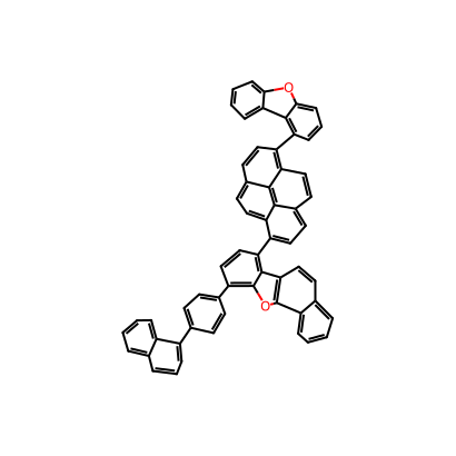 c1ccc2c(-c3ccc(-c4ccc(-c5ccc6ccc7c(-c8cccc9oc%10ccccc%10c89)ccc8ccc5c6c87)c5c4oc4c6ccccc6ccc45)cc3)cccc2c1